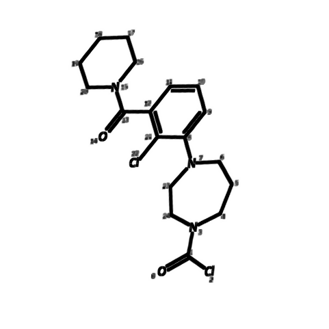 O=C(Cl)N1CCCN(c2cccc(C(=O)N3CCCCC3)c2Cl)CC1